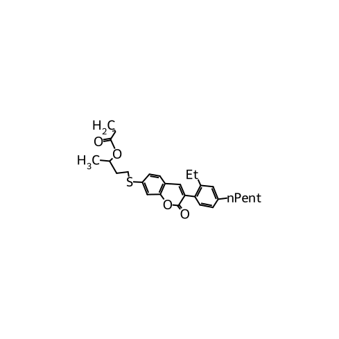 C=CC(=O)OC(C)CCSc1ccc2cc(-c3ccc(CCCCC)cc3CC)c(=O)oc2c1